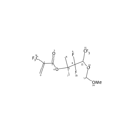 C=C(C(=O)OC(C)(C)C(F)(F)C(OCOC)C(F)(F)F)C(F)(F)F